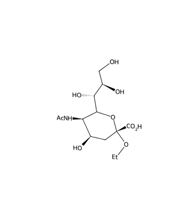 CCO[C@]1(C(=O)O)C[C@@H](O)[C@@H](NC(C)=O)C([C@H](O)[C@H](O)CO)O1